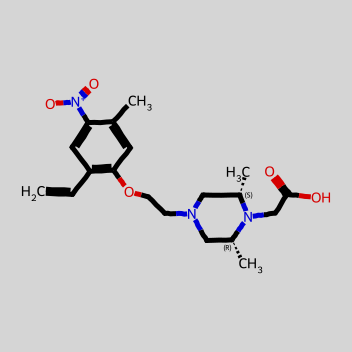 C=Cc1cc([N+](=O)[O-])c(C)cc1OCCN1C[C@@H](C)N(CC(=O)O)[C@@H](C)C1